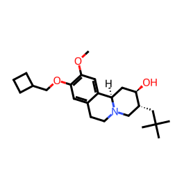 COc1cc2c(cc1OCC1CCC1)CCN1C[C@@H](CC(C)(C)C)[C@H](O)C[C@H]21